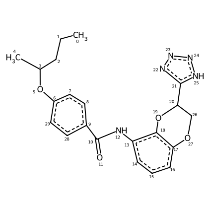 CCCC(C)Oc1ccc(C(=O)Nc2cccc3c2OC(c2nnn[nH]2)CO3)cc1